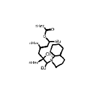 CCCCCCC(=O)OC(CCCC)CC(CCCCCC)CC(C)(CCCCCC)C(C(C)CC)N1CCCC2CCCCC21